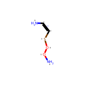 N/C=C\SOON